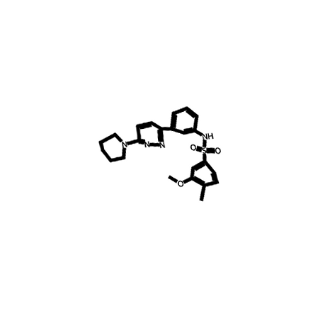 COc1cc(S(=O)(=O)Nc2cccc(-c3ccc(N4CCCCC4)nn3)c2)ccc1C